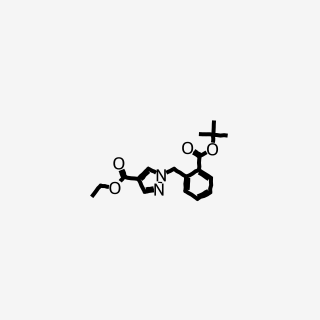 CCOC(=O)c1cnn(Cc2ccccc2C(=O)OC(C)(C)C)c1